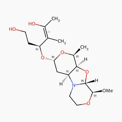 CO[C@H]1OCCN2[C@@H]1O[C@@H]1[C@H](C)O[C@@H](O[C@@H](CCO)/C(C)=C(/C)O)C[C@@H]12